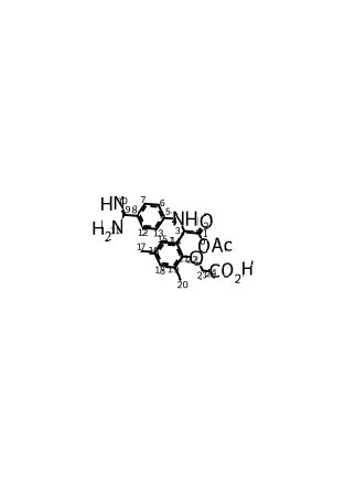 CC(=O)OC(=O)C(Nc1ccc(C(=N)N)cc1)c1cc(C)cc(C)c1OCC(=O)O